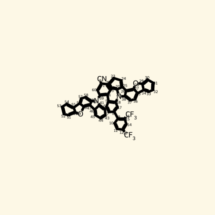 N#Cc1ccc(-c2ccc(-c3ccc(C(F)(F)F)cc3C(F)(F)F)cc2-n2c3ccccc3c3c4oc5ccccc5c4ccc32)c(-n2c3ccccc3c3c4oc5ccccc5c4ccc32)c1